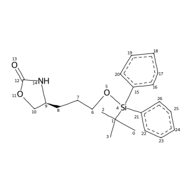 CC(C)(C)[Si](OCCC[C@H]1COC(=O)N1)(c1ccccc1)c1ccccc1